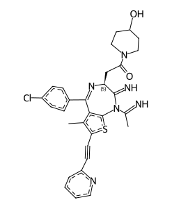 CC(=N)N1C(=N)[C@H](CC(=O)N2CCC(O)CC2)N=C(c2ccc(Cl)cc2)c2c1sc(C#Cc1ccccn1)c2C